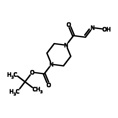 CC(C)(C)OC(=O)N1CCN(C(=O)/C=N/O)CC1